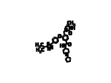 CC(C)c1nnc(-c2ccc(Oc3cc(C(=O)NC4CCN(C5CCCC5)CC4)ccc3CN3C[C@@H](C)NC3=O)cc2)s1